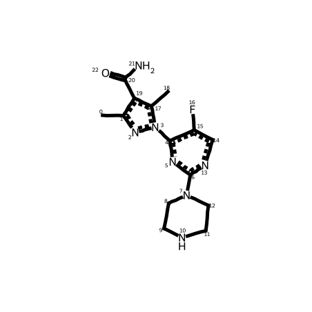 Cc1nn(-c2nc(N3CCNCC3)ncc2F)c(C)c1C(N)=O